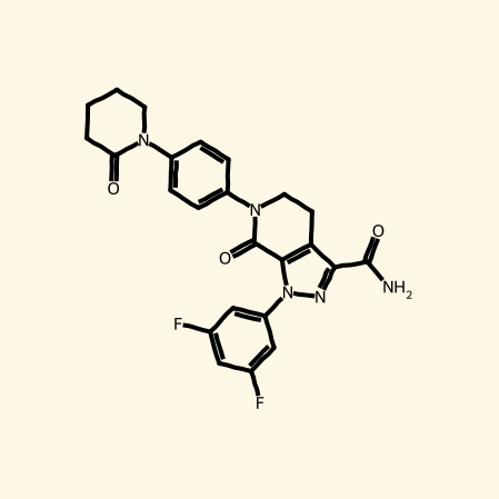 NC(=O)c1nn(-c2cc(F)cc(F)c2)c2c1CCN(c1ccc(N3CCCCC3=O)cc1)C2=O